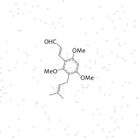 COc1cc(OC)c(CC=C(C)C)c(OC)c1C=CC=O